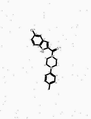 Cc1ccc(N2CCN(C(=O)c3cc4cc(Cl)ccc4[nH]3)CC2)cc1